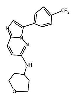 FC(F)(F)c1ccc(-c2cnc3ccc(NC4CCOCC4)nn23)cc1